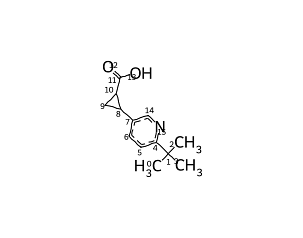 CC(C)(C)c1ccc(C2CC2C(=O)O)cn1